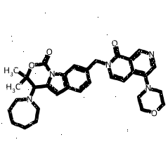 CC1(C)OC(=O)n2c(cc3ccc(Cn4ccc5c(N6CCOCC6)cncc5c4=O)cc32)C1N1CCCCCC1